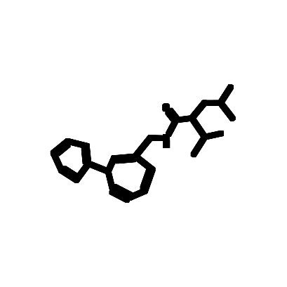 CC(C)CC(C(=O)NCC1=CC(c2ccccc2)C#CC=C1)C(C)C